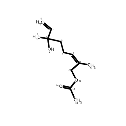 C=CC(C)(O)CCC=C(C)COC(C)=O